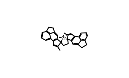 CC1=Cc2c(cc3c4c(cccc24)CC3)[C]12CC[C]1(C(C)=Cc3c1cc1c4c(cccc34)CC1)[Zr]2([CH3])[CH3]